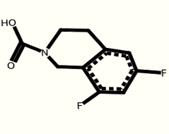 O=C(O)N1CCc2cc(F)cc(F)c2C1